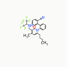 CCCCc1cc(C)c(CNC(C(F)(F)F)C(F)(F)F)c(=O)n1-c1ccccc1-c1ccccc1C#N